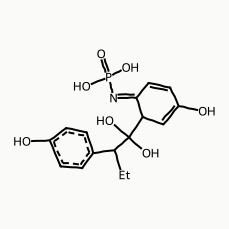 CCC(c1ccc(O)cc1)C(O)(O)C1C=C(O)C=CC1=NP(=O)(O)O